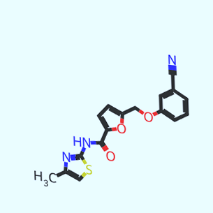 Cc1csc(NC(=O)c2ccc(COc3cccc(C#N)c3)o2)n1